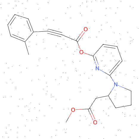 COC(=O)CC1CCCN1c1cccc(OC(=O)C#Cc2ccccc2C)n1